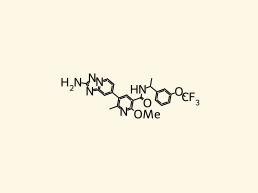 COc1nc(C)c(-c2ccn3nc(N)nc3c2)cc1C(=O)NC(C)c1cccc(OC(F)(F)F)c1